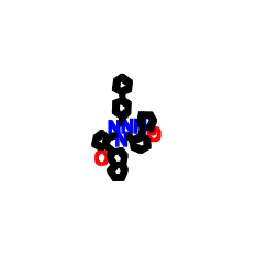 c1ccc(-c2ccc(C3=NC(c4cccc5oc6c7ccccc7ccc6c45)=NC(c4cccc5oc6ccccc6c45)N3)cc2)cc1